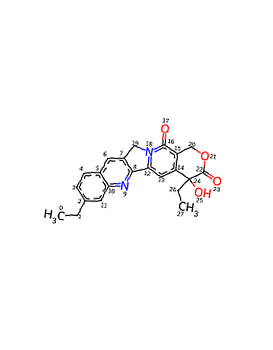 CCc1ccc2cc3c(nc2c1)-c1cc2c(c(=O)n1C3)COC(=O)C2(O)CC